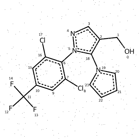 OCc1cnn(-c2c(Cl)cc(C(F)(F)F)cc2Cl)c1-n1cccc1